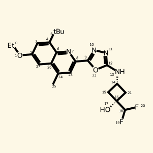 CCOc1cc(C(C)(C)C)c2nc(-c3nnc(N[C@H]4C[C@](O)(C(F)F)C4)o3)cc(C)c2c1